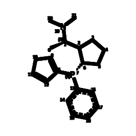 C[C@H](C1CCCC1[P@@](C1=CCC=C1)c1ccccc1)N(C)C